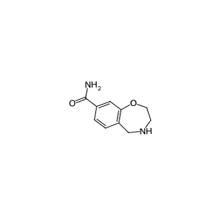 NC(=O)c1ccc2c(c1)OCCNC2